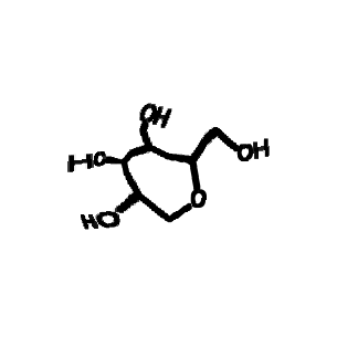 OCC1OCC(O)[C@@H](O)C1O